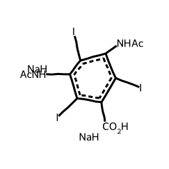 CC(=O)Nc1c(I)c(NC(C)=O)c(I)c(C(=O)O)c1I.[NaH].[NaH]